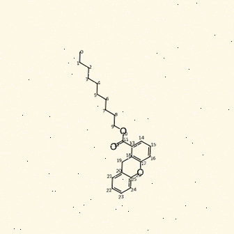 CCCCCCCCCCOC(=O)c1cccc2c1Cc1ccccc1O2